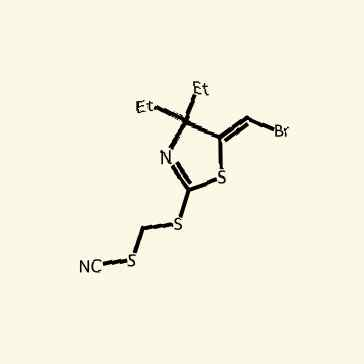 CCC1(CC)N=C(SCSC#N)SC1=CBr